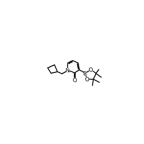 CC1(C)OB(c2cccn(CC3CCC3)c2=O)OC1(C)C